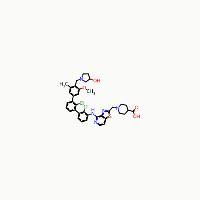 COc1cc(-c2cccc(-c3cccc(Nc4nccc5sc(CN6CCC(C(=O)O)CC6)nc45)c3Cl)c2Cl)cc(C)c1CN1CCC(O)C1